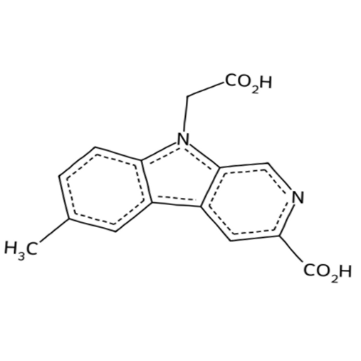 Cc1ccc2c(c1)c1cc(C(=O)O)ncc1n2CC(=O)O